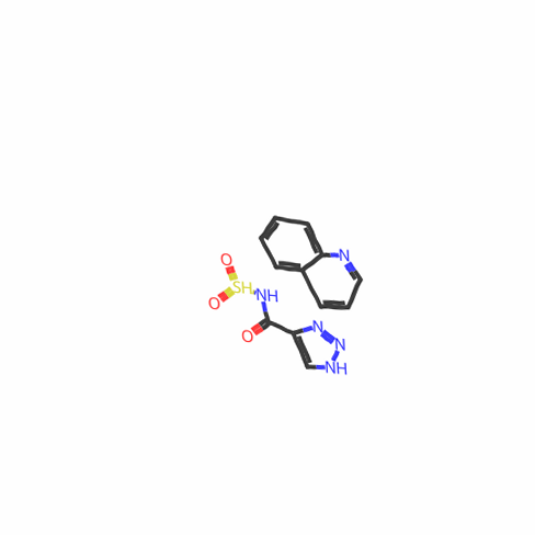 O=C(N[SH](=O)=O)c1c[nH]nn1.c1ccc2ncccc2c1